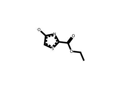 CCOC(=O)c1nc([O])cs1